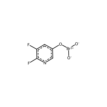 [O-][Br+2]([O-])Oc1cnc(F)c(F)c1